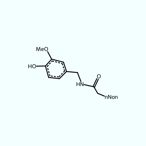 CCCCCCCCCCC(=O)NCc1ccc(O)c(OC)c1